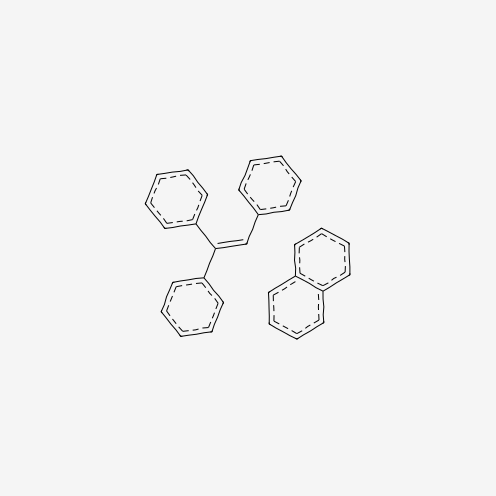 C(=C(c1ccccc1)c1ccccc1)c1ccccc1.c1ccc2ccccc2c1